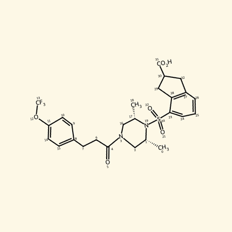 C[C@@H]1CN(C(=O)CCc2ccc(OC(F)(F)F)cc2)C[C@H](C)N1S(=O)(=O)c1cccc2c1CC(C(=O)O)C2